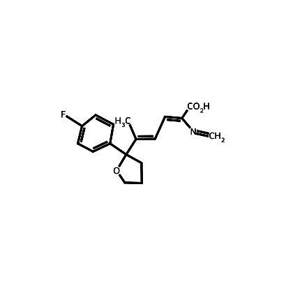 C=N/C(=C\C=C(/C)C1(c2ccc(F)cc2)CCCO1)C(=O)O